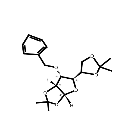 CC1(C)OCC([C@H]2O[C@@H]3OC(C)(C)O[C@@H]3[C@@H]2OCc2ccccc2)O1